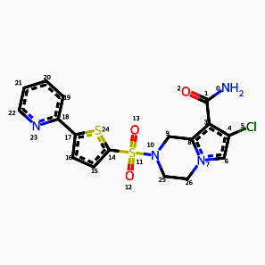 NC(=O)c1c(Cl)cn2c1CN(S(=O)(=O)c1ccc(-c3ccccn3)s1)CC2